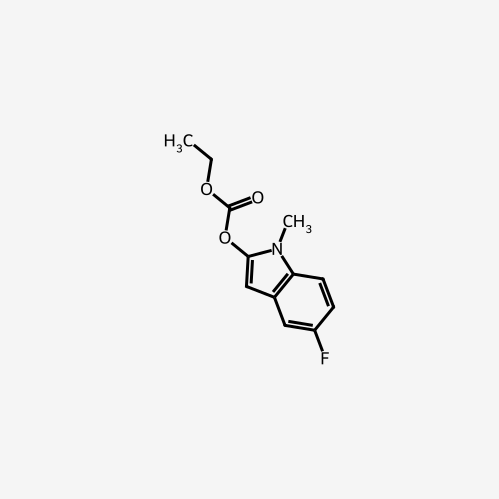 CCOC(=O)Oc1cc2cc(F)ccc2n1C